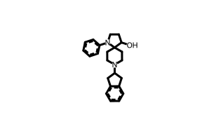 OC1CCN(c2ccccc2)C12CCN(C1Cc3ccccc3C1)CC2